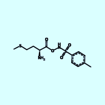 CSCC[C@H](N)C(=O)ONS(=O)(=O)c1ccc(C)cc1